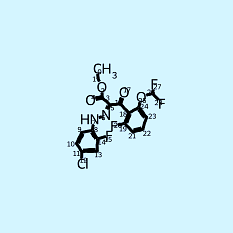 CCOC(=O)C(=NNc1ccc(Cl)cc1F)C(=O)c1c(F)cccc1OC(F)F